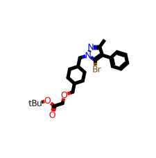 Cc1nn(CC2CCC(COCC(=O)OC(C)(C)C)CC2)c(Br)c1-c1ccccc1